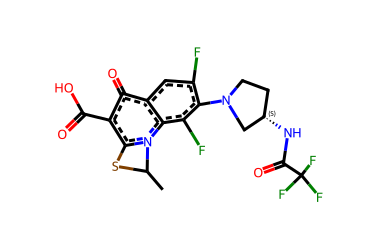 CC1Sc2c(C(=O)O)c(=O)c3cc(F)c(N4CC[C@H](NC(=O)C(F)(F)F)C4)c(F)c3n21